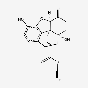 C#COC(=O)N1CC[C@]23c4c5ccc(O)c4O[C@H]2C(=O)CC[C@@]3(O)C1C5